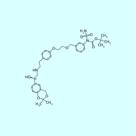 CC(C)(C)OC(=O)N(c1cccc(COCCOc2ccc(CCNC[C@H](O)c3ccc4c(c3)COC(C)(C)O4)cc2)c1)S(N)(=O)=O